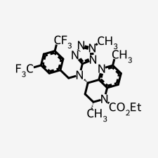 CCOC(=O)N1c2ccc(C)nc2[C@@H](N(Cc2cc(C(F)(F)F)cc(C(F)(F)F)c2)c2nnn(C)n2)C[C@H]1C